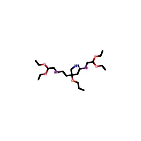 CCCOC(CN)(CCPCC(OCC)OCC)CCPCC(OCC)OCC